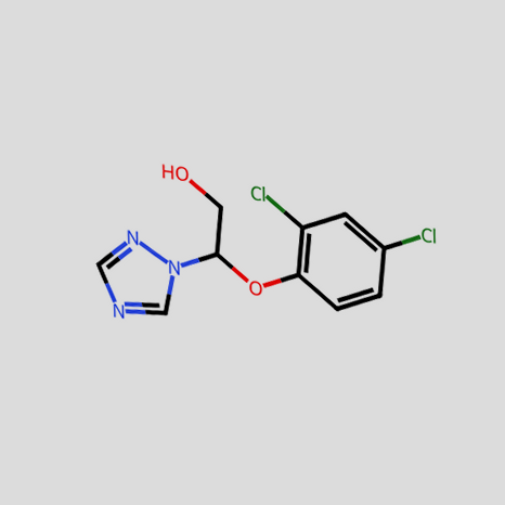 OCC(Oc1ccc(Cl)cc1Cl)n1cncn1